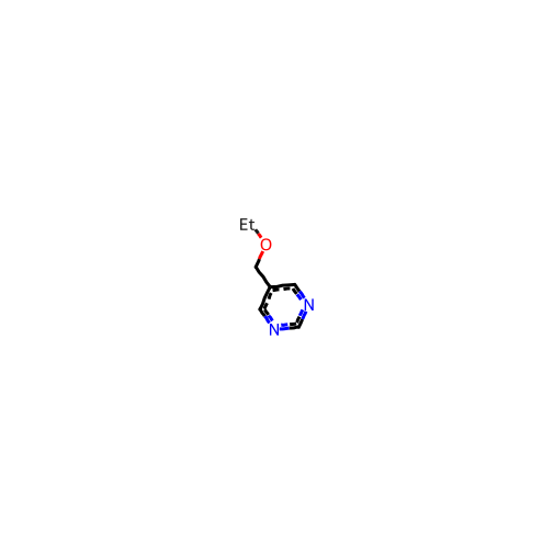 CCOCc1cncnc1